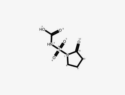 O=C(O)NS(=O)(=O)N1CCCC1=O